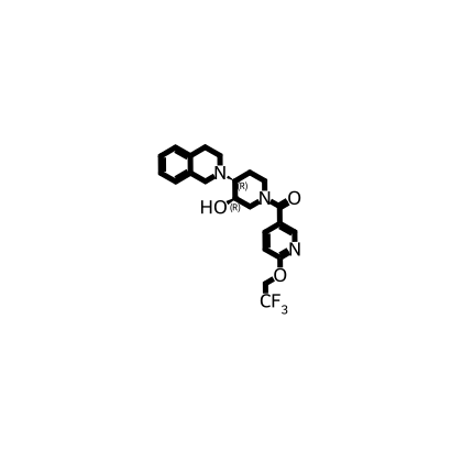 O=C(c1ccc(OCC(F)(F)F)nc1)N1CC[C@@H](N2CCc3ccccc3C2)[C@H](O)C1